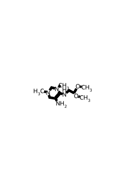 COC(CNC1=C(N)CN(C)CN1C)OC